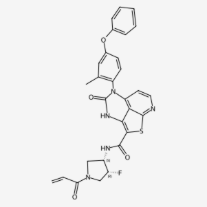 C=CC(=O)N1C[C@@H](F)[C@@H](NC(=O)c2sc3nccc4c3c2NC(=O)N4c2ccc(Oc3ccccc3)cc2C)C1